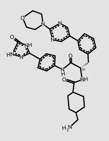 NCC1CCC(C(=O)N[C@@H](Cc2cccc(-c3cnc(N4CCOCC4)nc3)c2)C(=O)Nc2ccc(-c3n[nH]c(=O)[nH]3)cc2)CC1